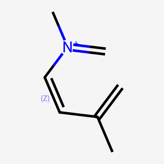 C=C(C)/C=C\[N+](=C)C